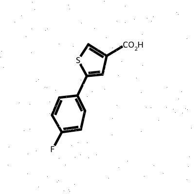 O=C(O)c1csc(-c2ccc(F)cc2)c1